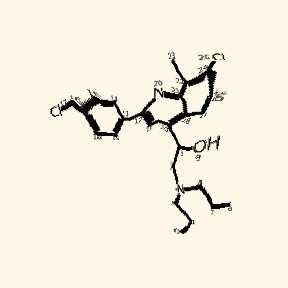 CCCN(CCC)CC(O)c1cc(-c2ccc(Cl)cc2)nc2c(C)c(Cl)ccc12